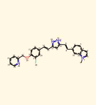 Cn1ccc2ccc(C=Cc3cc(/C=C/c4ccc(OCc5ccccn5)c(F)c4)n[nH]3)cc21